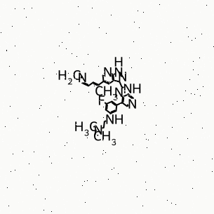 C=N/C=C\C=C(/C)c1cnc2[nH]nc(-c3nc4c(-c5cc(F)cc(NCCN(C)C)c5)cncc4[nH]3)c2c1